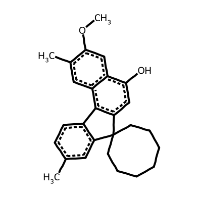 COc1cc2c(O)cc3c(c2cc1C)-c1ccc(C)cc1C31CCCCCCC1